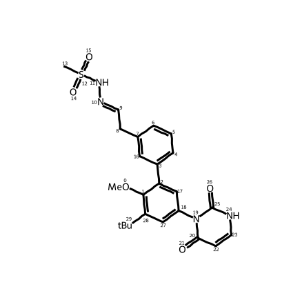 COc1c(-c2cccc(C/C=N/NS(C)(=O)=O)c2)cc(-n2c(=O)cc[nH]c2=O)cc1C(C)(C)C